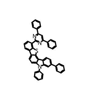 c1ccc(-c2ccc3c4c5sc6c(-c7nc(-c8ccccc8)cc(-c8ccccc8)n7)cccc6c5ccc4n(-c4ccccc4)c3c2)cc1